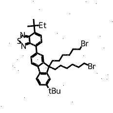 CCC(C)(C)c1ccc(-c2ccc3c(c2)C(CCCCCCBr)(CCCCCCBr)c2cc(C(C)(C)C)ccc2-3)c2nsnc12